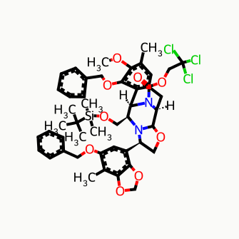 COc1c(C)cc2c(c1OCc1ccccc1)[C@@H]1[C@H](CO[Si](C)(C)C(C)(C)C)N3C(OC[C@H]3c3cc(OCc4ccccc4)c(C)c4c3OCO4)[C@H](C2)N1C(=O)OCC(Cl)(Cl)Cl